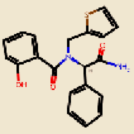 NC(=O)[C@@H](c1ccccc1)N(Cc1cccs1)C(=O)c1ccccc1O